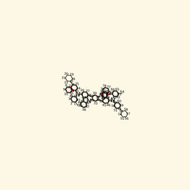 Cc1ccc(-c2ccccc2)c(N(c2ccc(C3CCCCC3)cc2)c2ccc3c4cc5c(cc4n4c6ccccc6c2c34)c2ccc(N(c3ccc(C4CCCCC4)cc3)c3cc(C)ccc3-c3ccccc3)c3c4ccccc4n5c23)c1